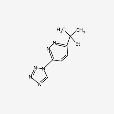 CCC(C)(C)c1ccc(-n2cnnn2)nn1